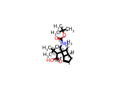 CC1[C@H]2CC=C[C@H]2C1(CNC(=O)OC(C)(C)C)C(C(=O)O)C(C)(C)C